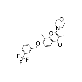 Cc1c(N2CCOCC2)oc2c(C)c(OCc3cccc(C(F)(F)F)c3)ccc2c1=O